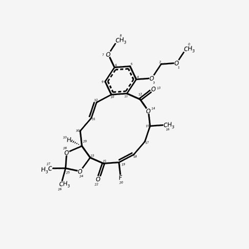 COCOc1cc(OC)cc2c1C(=O)OC(C)C/C=C(/F)C(=O)C1OC(C)(C)O[C@H]1C/C=C/2